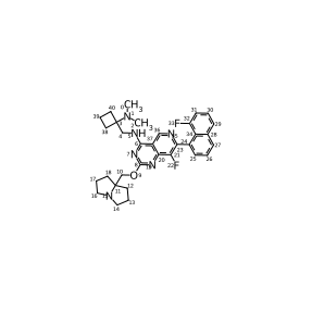 CN(C)C1(CNc2nc(OCC34CCCN3CCC4)nc3c(F)c(-c4cccc5cccc(F)c45)ncc23)CCC1